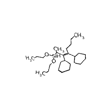 CCCCC(=C(C1CCCCC1)C(C)[SiH](OCCC)OCCC)C1CCCCC1